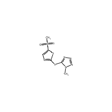 Cn1nnnc1Sc1ncc(S(C)(=O)=O)s1